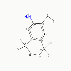 CCc1cc2c(cc1N)C(C)(C)CCC2(C)C